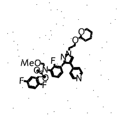 COCN(c1cccc(-c2nn(CCOC3CCCCO3)cc2-c2ccncc2)c1F)S(=O)(=O)c1cc(F)ccc1F